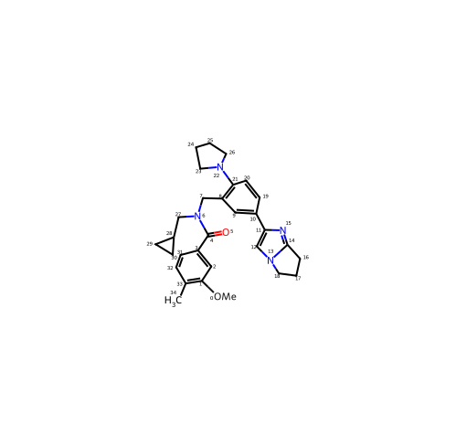 COc1cc(C(=O)N(Cc2cc(-c3cn4c(n3)CCC4)ccc2N2CCCC2)CC2CC2)ccc1C